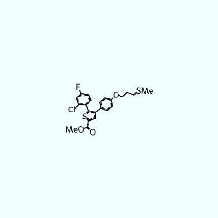 COC(=O)c1cc(-c2ccc(OCCCSC)cc2)c(-c2ccc(F)cc2Cl)s1